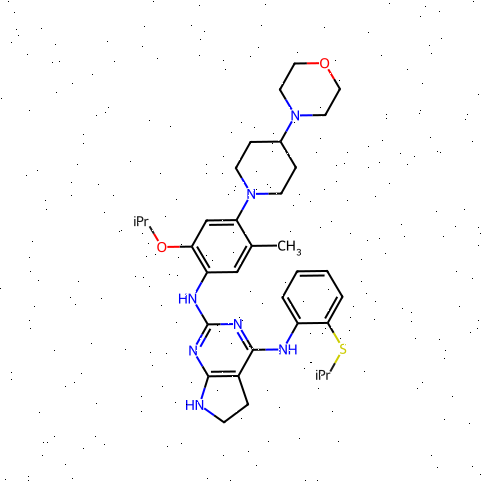 Cc1cc(Nc2nc3c(c(Nc4ccccc4SC(C)C)n2)CCN3)c(OC(C)C)cc1N1CCC(N2CCOCC2)CC1